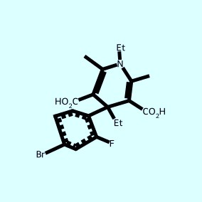 CCN1C(C)=C(C(=O)O)C(CC)(c2ccc(Br)cc2F)C(C(=O)O)=C1C